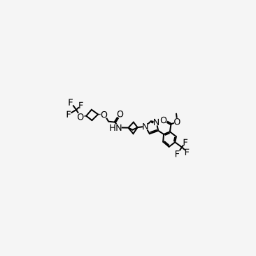 COC(=O)c1cc(C(F)(F)F)ccc1-c1cn(C23CC(NC(=O)CO[C@H]4C[C@@H](OC(F)(F)F)C4)(C2)C3)cn1